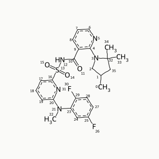 CC1CN(c2ncccc2C(=O)NS(=O)(=O)c2cccc(N(C)c3cc(F)ccc3F)n2)C(C)(C)C1